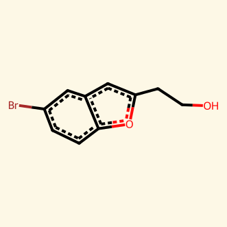 OCCc1cc2cc(Br)ccc2o1